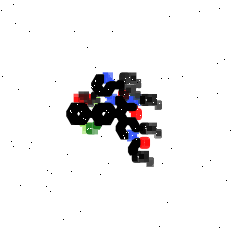 C=CC(=O)N1CCC(c2c(C(=O)NC)c(=O)n(-c3c(C)ccnc3C(C)C)c3c(F)c(-c4c(O)cccc4F)c(Cl)cc23)C[C@H]1C